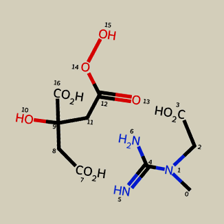 CN(CC(=O)O)C(=N)N.O=C(O)CC(O)(CC(=O)OO)C(=O)O